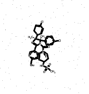 CCOc1cc(C(C)(C)C)ncc1C1=N[C@@](C)(C2C=CC(Cl)=CC2)[C@@](C)(c2ccc(Cl)cc2)N1C(=O)N1CCC(NS(C)(=O)=O)CC1